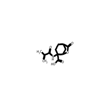 C=C(C)C(=O)NC1(C(=O)O)CCC2CC1OC2=O